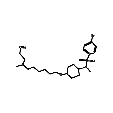 COCCN(C)CCCCCCOC1CCC(N(C)S(=O)(=O)c2ccc(Br)cc2)CC1